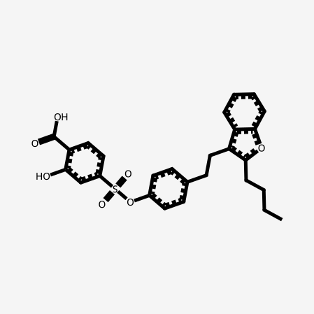 CCCCc1oc2ccccc2c1CCc1ccc(OS(=O)(=O)c2ccc(C(=O)O)c(O)c2)cc1